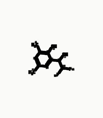 Cc1cc(C)c(O)c(C(O)C(F)F)c1